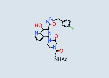 CC(=O)NCC(=O)N1CCN(c2nc(-c3nnc(Cc4ccc(F)cc4)o3)c(O)c3ncccc23)C(=O)C1